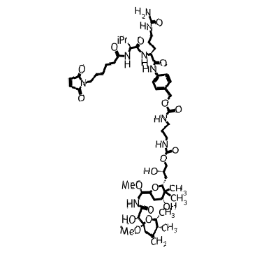 C=C1C[C@](OC)([C@H](O)C(=O)N[C@@H](OC)C2C[C@@H](O)C(C)(C)[C@@H](C[C@H](O)COC(=O)NCCCNC(=O)OCc3ccc(NC(=O)[C@H](CCCNC(N)=O)NC(=O)[C@@H](NC(=O)CCCCCN4C(=O)C=CC4=O)C(C)C)cc3)O2)O[C@H](C)[C@@H]1C